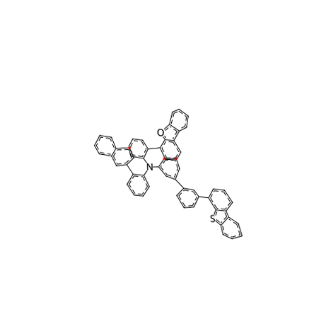 c1cc(-c2cccc(N(c3ccccc3-c3ccc4ccccc4c3)c3ccccc3-c3cccc4c3oc3ccccc34)c2)cc(-c2cccc3c2sc2ccccc23)c1